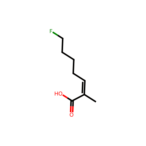 CC(=CCCCCF)C(=O)O